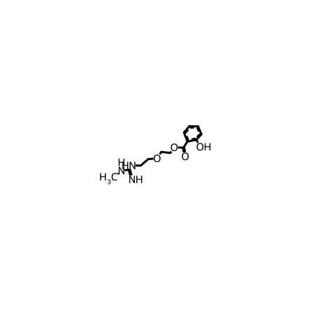 CNC(=N)NCCOCCOC(=O)c1ccccc1O